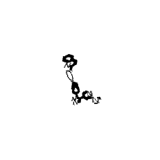 CN(C)c1cc(-c2cn(C)nc2-c2ccc(OCc3ccc4ccccc4n3)cc2)ccn1